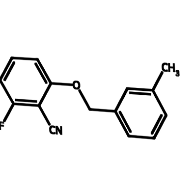 Cc1cccc(COc2cccc(F)c2C#N)c1